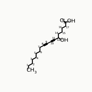 CCCCCCCCC#CC#CC(O)CCCCC(=O)O